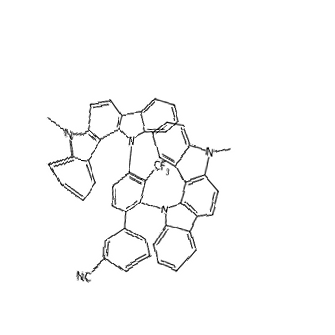 Cn1c2ccccc2c2c1ccc1c3ccccc3n(-c3ccc(-c4cccc(C#N)c4)c(-n4c5ccccc5c5ccc6c(c7ccccc7n6C)c54)c3C(F)(F)F)c12